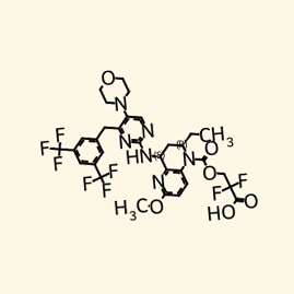 CC[C@@H]1C[C@H](Nc2ncc(N3CCOCC3)c(Cc3cc(C(F)(F)F)cc(C(F)(F)F)c3)n2)c2nc(OC)ccc2N1C(=O)OCC(F)(F)C(=O)O